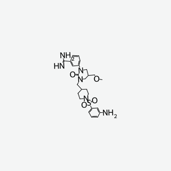 COCC1CN(CC2CCN(S(=O)(=O)c3cccc(N)c3)CC2)C(=O)N(c2cccc(C(=N)N)c2)C1